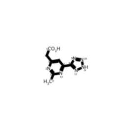 Cc1nc(CC(=O)O)cc(-c2nn[nH]n2)n1